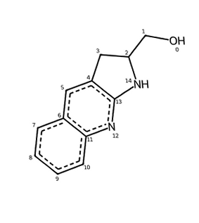 OCC1Cc2cc3ccccc3nc2N1